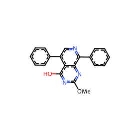 COc1nc(O)c2c(-c3ccccc3)cnc(-c3ccccc3)c2n1